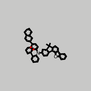 CC1(C)c2cc(N(c3ccc(-c4ccc5ccccc5c4)cc3)c3ccccc3-c3ccccc3)ccc2-c2c1ccc1c2oc2ccccc21